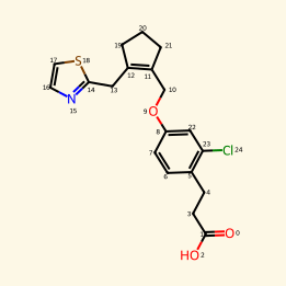 O=C(O)CCc1ccc(OCC2=C(Cc3nccs3)CCC2)cc1Cl